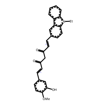 CCn1c2ccccc2c2cc(/C=C/C(=O)CC(=O)/C=C/c3ccc(OC)c(O)c3)ccc21